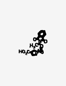 CC(On1on1N1CCC(C(=O)O)C1)N1C(=O)c2ccccc2C1=O